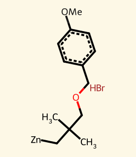 Br.COc1ccc(COCC(C)(C)[CH2][Zn])cc1